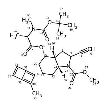 C#CC1C[C@H]2[C@@H](OC(=O)C(C)N(C)C(=O)OC(C)(C)C)CCC[C@H]2N1C(=O)OC.Cc1cc2ccc1-2